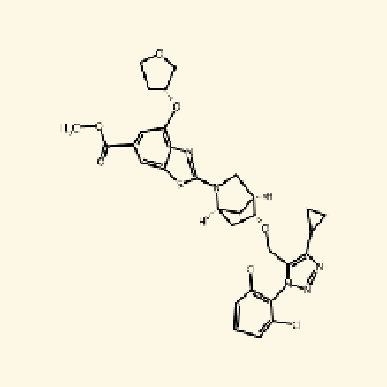 COC(=O)c1cc(O[C@@H]2CCOC2)c2nc(N3C[C@@H]4C[C@H]3C[C@H]4OCc3c(C4CC4)nnn3-c3c(Cl)cccc3Cl)sc2c1